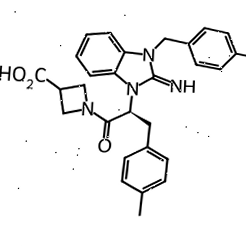 Cc1ccc(C[C@@H](C(=O)N2CC(C(=O)O)C2)n2c(=N)n(Cc3ccc(C)cc3)c3ccccc32)cc1